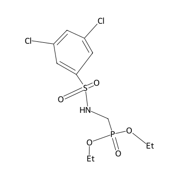 CCOP(=O)(CNS(=O)(=O)c1cc(Cl)cc(Cl)c1)OCC